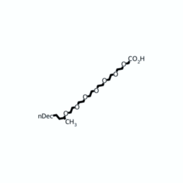 CCCCCCCCCCCCC(C)OCCOCCOCCOCCOCCOCCOCC(=O)O